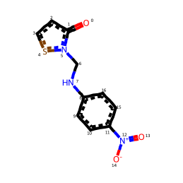 O=c1ccsn1CNc1ccc([N+](=O)[O-])cc1